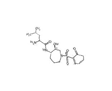 CC(C)CC(N)C(=O)NC1CCCN(S(=O)(=O)C2=NC=CCC2=O)C[C@@H]1O